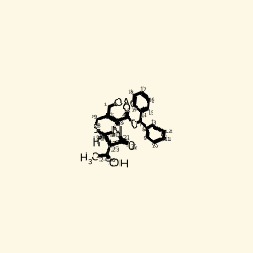 CC(=O)OCC1=C(C(=O)OC(c2ccccc2)c2ccccc2)N2C(=O)[C@@H](C(C)O)[C@H]2SC1